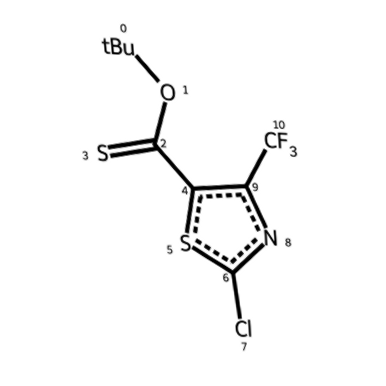 CC(C)(C)OC(=S)c1sc(Cl)nc1C(F)(F)F